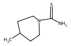 CC1CCN(C(N)=S)CC1